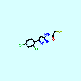 O=C(CS)Nc1cc(-c2ccc(Cl)cc2Cl)n[nH]1